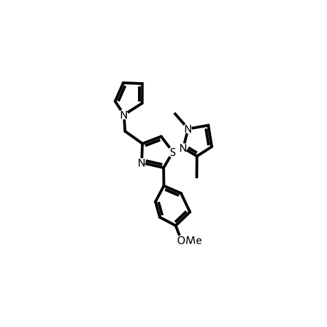 COc1ccc(-c2nc(Cn3cccc3)cs2)cc1.Cc1ccn(C)n1